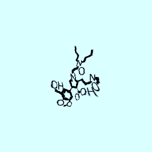 CCCCN(CCCC)C(=O)CN1C[C@H](c2cc(CO)c3c(c2)OCO3)[C@@H](C(=O)O)[C@@H]1CCc1ncco1